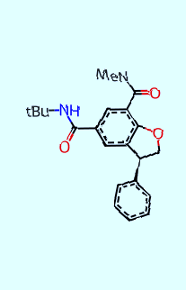 CNC(=O)c1cc(C(=O)NC(C)(C)C)cc2c1OC[C@H]2c1ccccc1